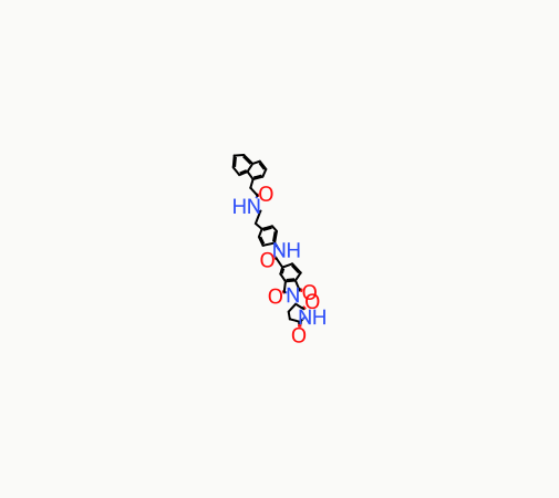 O=C(Cc1cccc2ccccc12)NCCc1ccc(NC(=O)c2ccc3c(c2)C(=O)N(C2CCC(=O)NC2=O)C3=O)cc1